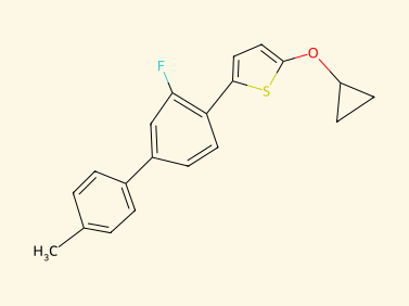 Cc1ccc(-c2ccc(-c3ccc(OC4CC4)s3)c(F)c2)cc1